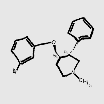 CN1CC[C@@H](Oc2cccc(Br)c2)[C@H](c2ccccc2)C1